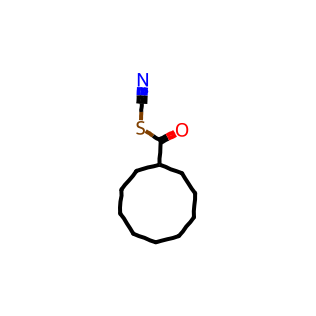 N#CSC(=O)C1CCCCCCCCC1